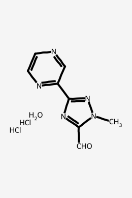 Cl.Cl.Cn1nc(-c2cnccn2)nc1C=O.O